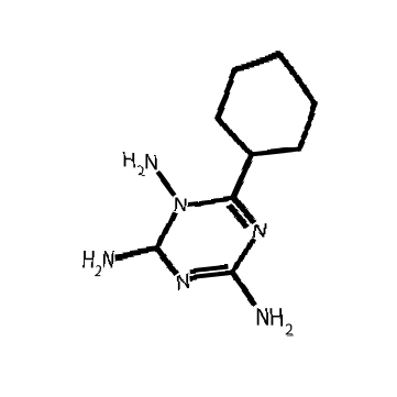 NC1=NC(N)N(N)C(C2CCCCC2)=N1